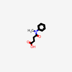 CN(C(=O)CCC(=O)O)c1ccccc1